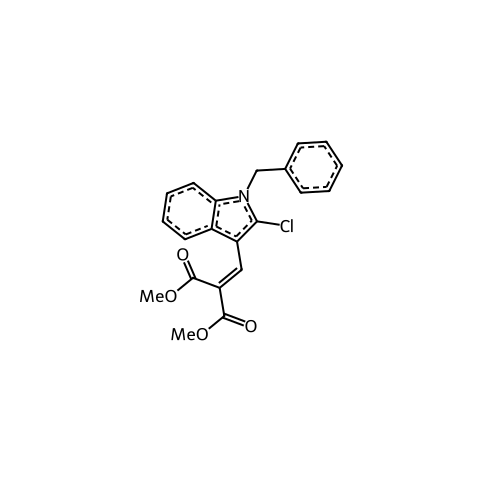 COC(=O)C(=Cc1c(Cl)n(Cc2ccccc2)c2ccccc12)C(=O)OC